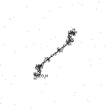 CC1(C)SCN[C@@H]1C(=O)N[C@@H](Cc1ccc(-n2c(=O)n(CC(=O)NCCOCCOCCC(=O)NCCCOCCOCCCNC(=O)CCOCCOCC(=O)Nn3c(=O)n(-c4ccc(C[C@H](NC(=O)[C@H]5NCSC5(C)C)C(=O)O)cc4)c4ncccc43)c3cccnc32)cc1)C(=O)O